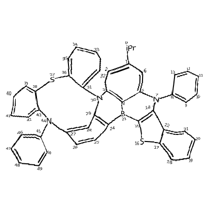 CC(C)c1cc2c3c(c1)N(c1ccccc1)c1c(sc4ccccc14)B3c1ccc3cc1N2c1ccccc1Sc1ccccc1N3c1ccccc1